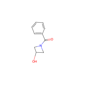 O=C(c1[c]cccc1)N1CC(O)C1